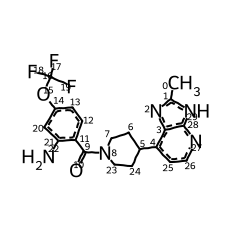 Cc1nc2c(C3CCN(C(=O)c4ccc(OC(F)(F)F)cc4N)CC3)ccnc2[nH]1